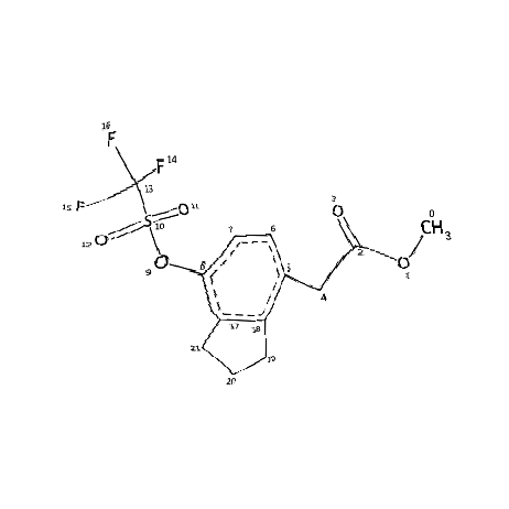 COC(=O)Cc1ccc(OS(=O)(=O)C(F)(F)F)c2c1CCC2